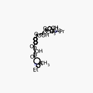 CCC1=C/C2=C/CCC(C(=O)OCC(O)COC(=O)c3ccc4cc(C(=O)OCC(O)COC(=O)C5(C)CCC[C@@]6(C)C5CC=C(/C=C/C(C)C)[C@@H]6CC)ccc4c3)CCC[C@H](C)[C@H]2CC1